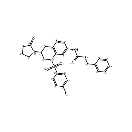 O=C(Nc1cnc2c(c1)N(S(=O)(=O)c1ccc(F)cc1)C[C@@H](N1CCCC1=O)C2)OCc1ccccc1